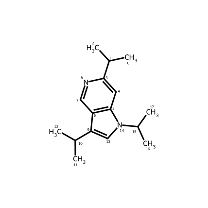 CC(C)c1cc2c(cn1)c(C(C)C)cn2C(C)C